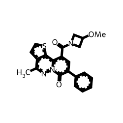 COC1CN(C(=O)c2cc(-c3ccccc3)c(=O)n3nc(C)c4ccsc4c23)C1